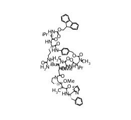 CC[C@H](C)[C@@H]([C@@H](CC(=O)N1CCC[C@H]1[C@H](OC)[C@@H](C)C(=O)N[C@@H](Cc1ccccc1)c1nccs1)OC)N(C)C(=O)[C@@H](NC(=O)[C@H](C(C)C)N(C)C(=O)OCc1ccc(NC(=O)[C@H](CCCNC(N)=O)NC(=O)[C@@H](NC(=O)OCC2c3ccccc3-c3ccccc32)C(C)C)cc1)C(C)C